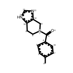 Cc1ccc(C(=O)N2CCc3[nH]cnc3C2)cc1